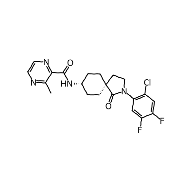 Cc1nccnc1C(=O)N[C@H]1CC[C@@]2(CCN(c3cc(F)c(F)cc3Cl)C2=O)CC1